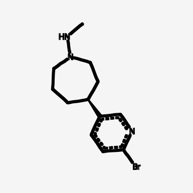 CNN1CCC[C@H](c2ccc(Br)nc2)CC1